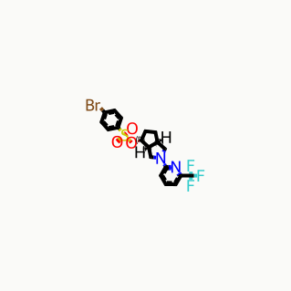 O=S(=O)(O[C@@H]1CC[C@@H]2CN(c3cccc(C(F)(F)F)n3)C[C@@H]21)c1ccc(Br)cc1